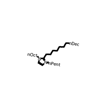 CCCCCCCCCCCCCCCCCc1n(CCCCCCCC)cc[n+]1CCCCC